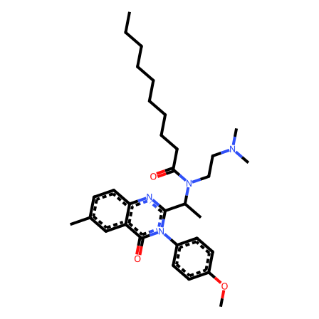 CCCCCCCCCC(=O)N(CCN(C)C)C(C)c1nc2ccc(C)cc2c(=O)n1-c1ccc(OC)cc1